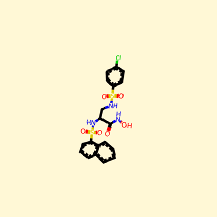 O=C(NO)C(CNS(=O)(=O)c1ccc(Cl)cc1)NS(=O)(=O)c1cccc2ccccc12